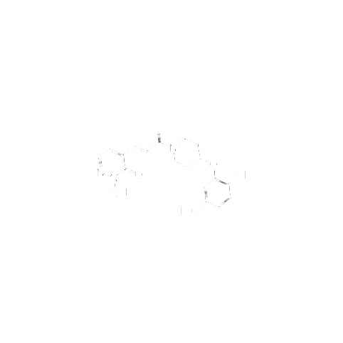 Cn1nccc(/C=C/C(=O)N2CCC(Oc3cc(C(F)(F)F)ccc3Cl)CC2)c1=O